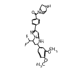 COc1ccc(C2CC(C(F)F)n3nc(-c4ccc(C(=O)N5CC6CC5CN6)cc4)cc3N2)cc1OC